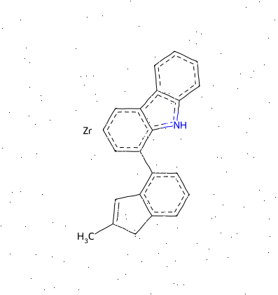 CC1=Cc2c(cccc2-c2cccc3c2[nH]c2ccccc23)[CH]1.[Zr]